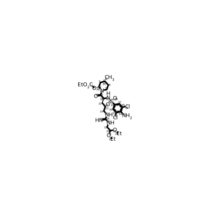 CCOC(=O)O[C@@H]1C[C@H](C)CCN1C(=O)[C@H](CCCNC(=N)NCC(OCC)OCC)NS(=O)(=O)c1cc(Cl)c(N)c(Cl)c1